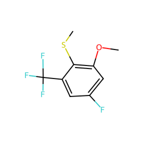 COc1cc(F)cc(C(F)(F)F)c1SC